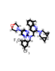 Cc1cccc2cc(CN(Cc3cc(C(F)(F)F)cc(C(F)(F)F)c3)c3ncc(N4CCOCC4)cn3)c(N(CC3CC3)CC3CC3)nc12